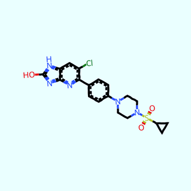 O=S(=O)(C1CC1)N1CCN(c2ccc(-c3nc4nc(O)[nH]c4cc3Cl)cc2)CC1